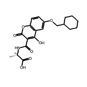 C[C@H](NC(=O)c1c(O)c2cc(OCC3CCCCC3)ccc2oc1=O)C(=O)O